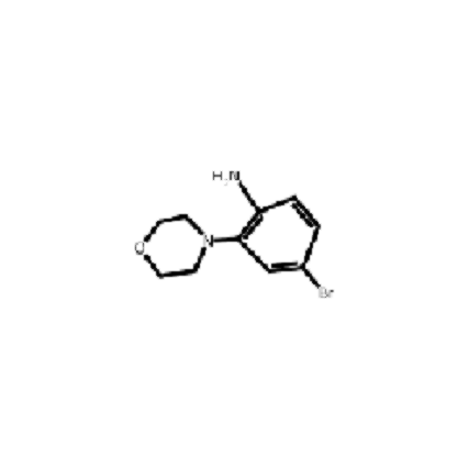 Nc1ccc(Br)cc1N1CCOCC1